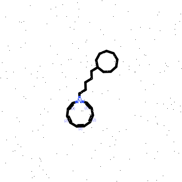 C1=C\C=C/C=C\N(CCCCCC2CCCCCCCC2)/C=C\C=C/1